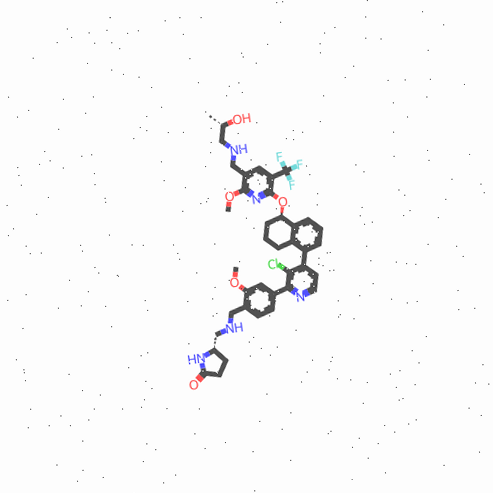 COc1cc(-c2nccc(-c3cccc4c3CCC[C@H]4Oc3nc(OC)c(CNC[C@H](C)O)cc3C(F)(F)F)c2Cl)ccc1CNC[C@@H]1CCC(=O)N1